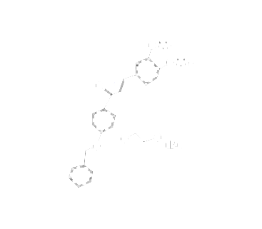 COc1ccc(/C=C/C(=O)c2ccc(OCc3ccccc3)c(OCCOC(C)(C)C)c2)cc1OC